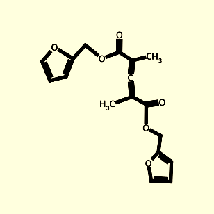 CC(=C=C(C)C(=O)OCc1ccco1)C(=O)OCc1ccco1